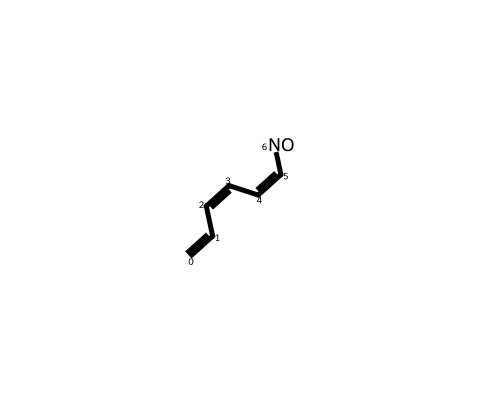 C=C/C=C\C=C/N=O